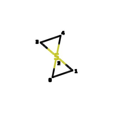 C1CS12CC2